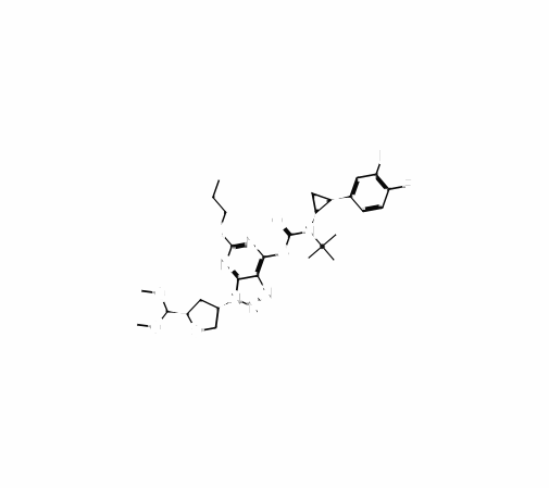 CCCSc1nc(OC(=O)N([C@H]2C[C@H]2c2ccc(F)c(F)c2)C(C)(C)C)c2nnn([C@H]3CO[C@@H](C(OC)OC)C3)c2n1